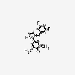 Cc1cc(C2NC=CN2Cc2cc(F)cc(F)c2)cn(C)c1=O